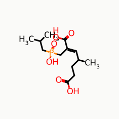 CC(C)CP(=O)(O)C/C(=C\C(C)CCC(=O)O)C(=O)O